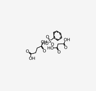 O=C(O)CC(=O)O.O=C(O)CCC(=O)O.O=S(=O)(O)c1ccccc1